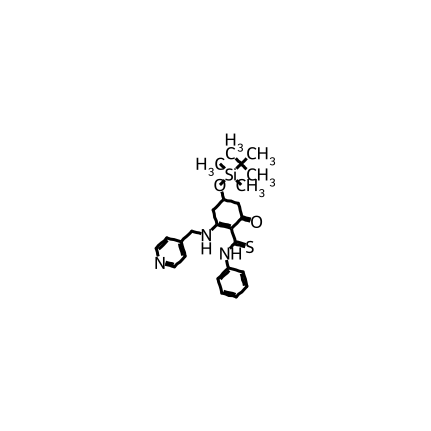 CC(C)(C)[Si](C)(C)OC1CC(=O)C(C(=S)Nc2ccccc2)=C(NCc2ccncc2)C1